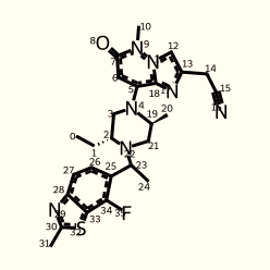 CC[C@@H]1CN(c2cc(=O)n(C)n3cc(CC#N)nc23)[C@@H](C)CN1C(C)c1ccc2nc(C)sc2c1F